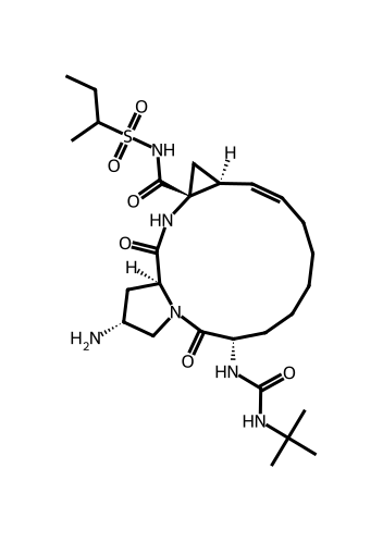 CCC(C)S(=O)(=O)NC(=O)[C@@]12C[C@H]1/C=C\CCCCC[C@H](NC(=O)NC(C)(C)C)C(=O)N1C[C@H](N)C[C@H]1C(=O)N2